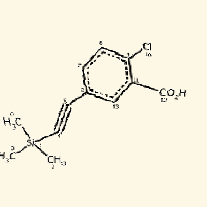 C[Si](C)(C)C#Cc1ccc(Cl)c(C(=O)O)c1